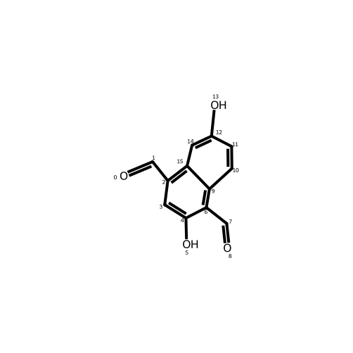 O=Cc1cc(O)c(C=O)c2ccc(O)cc12